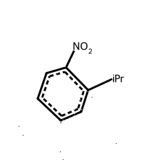 CC(C)c1c[c]ccc1[N+](=O)[O-]